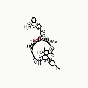 CO[C@H]1/C=C/O[C@@]2(C)Oc3c(C)c(O)c4c(c3C2=O)C2=NC3(CCN(CC(C)C)CC3)NC2=C(NC(=O)/C(C)=C\C=C\[C@H](C)[C@H](O)[C@@H](C)[C@@H](O)[C@@H](C)[C@H](OC(=O)CC(=O)N2CCN(c3ccccc3S(N)(=O)=O)CC2)[C@@H]1C)C4=O